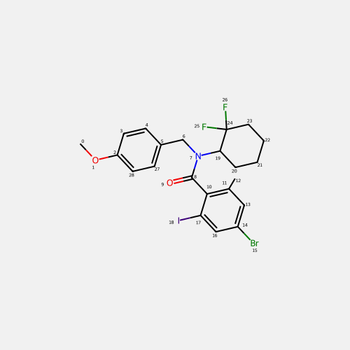 COc1ccc(CN(C(=O)c2c(C)cc(Br)cc2I)C2CCCCC2(F)F)cc1